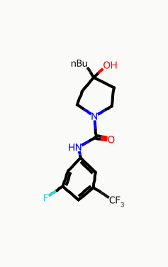 CCCCC1(O)CCN(C(=O)Nc2cc(F)cc(C(F)(F)F)c2)CC1